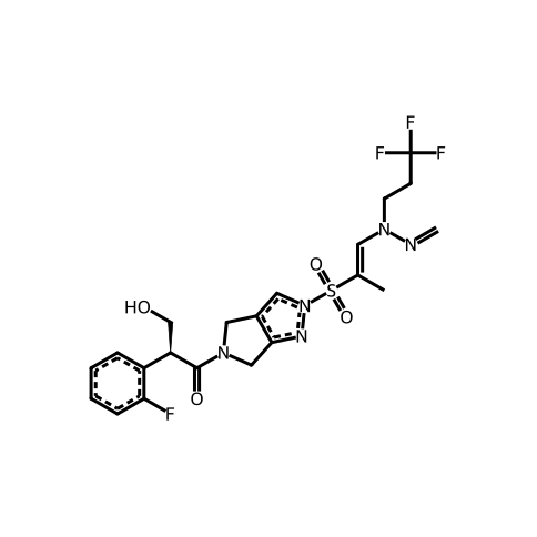 C=NN(/C=C(\C)S(=O)(=O)n1cc2c(n1)CN(C(=O)[C@H](CO)c1ccccc1F)C2)CCC(F)(F)F